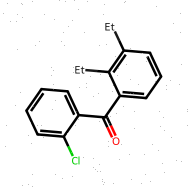 CCc1cccc(C(=O)c2ccccc2Cl)c1CC